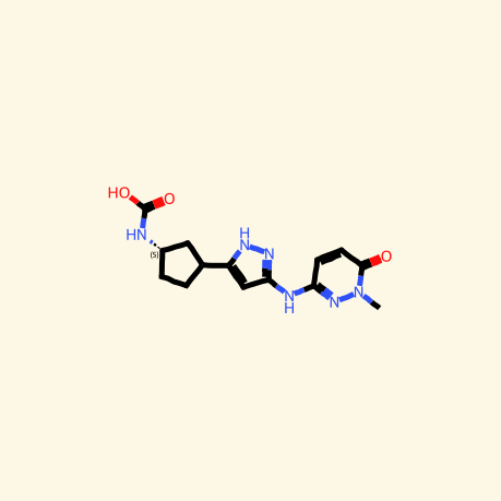 Cn1nc(Nc2cc(C3CC[C@H](NC(=O)O)C3)[nH]n2)ccc1=O